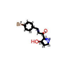 O=C(/C=C/c1ccc(Br)cc1)C1=NCC=C1O